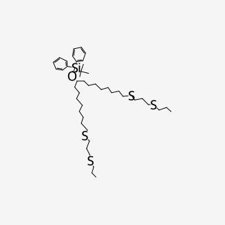 CCCSCCCSCCCCCCCCC(CCCCCCCCSCCCSCCC)O[Si](c1ccccc1)(c1ccccc1)C(C)(C)C